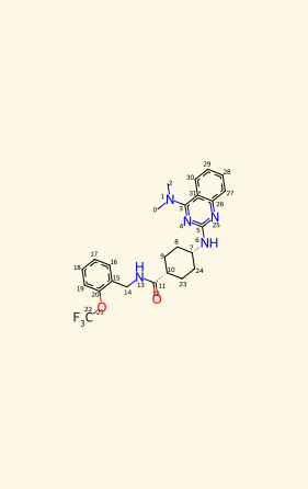 CN(C)c1nc(N[C@H]2CC[C@@H](C(=O)NCc3ccccc3OC(F)(F)F)CC2)nc2ccccc12